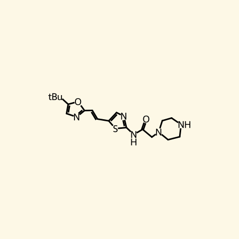 CC(C)(C)c1cnc(C=Cc2cnc(NC(=O)CN3CCNCC3)s2)o1